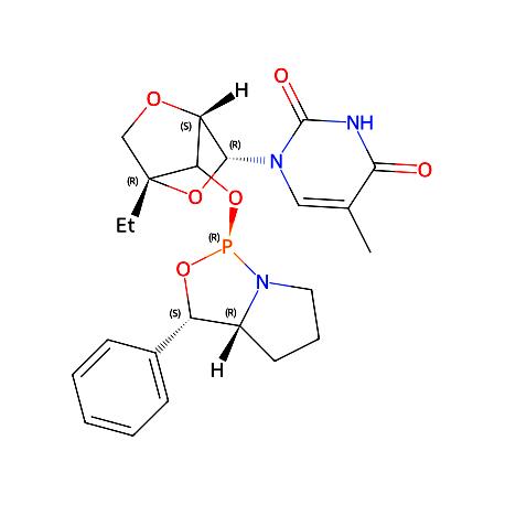 CC[C@@]12CO[C@@H](C1O[P@]1O[C@@H](c3ccccc3)[C@H]3CCCN31)[C@H](n1cc(C)c(=O)[nH]c1=O)O2